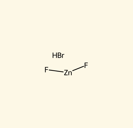 Br.[F][Zn][F]